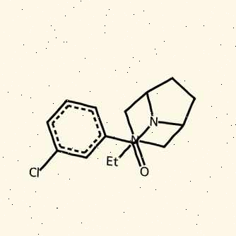 CCN1CC2CCC(C1)N2C(=O)c1cccc(Cl)c1